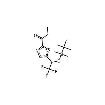 CCC(=O)c1ncc(C(O[Si](C)(C)C(C)(C)C)C(F)(F)F)s1